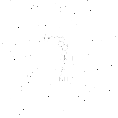 CC(C)NC(=O)CC[C@@H](C)C1CCC2C3C(CC[C@@]21C)[C@@]1(C)CC[C@H](NCCCNCCCN)CC1C[C@H]3O